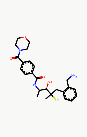 CC(NC(=O)c1ccc(C(=O)N2CCOCC2)cc1)[C@@H](O)C(C)(S)Cc1ccccc1CN